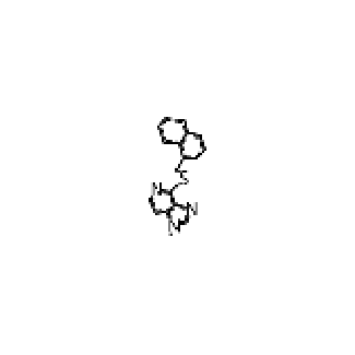 Cn1cnc2c(SCc3cccc4ccccc34)nccc21